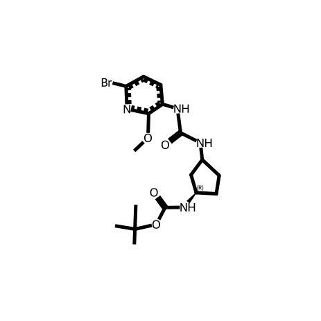 COc1nc(Br)ccc1NC(=O)NC1CC[C@@H](NC(=O)OC(C)(C)C)C1